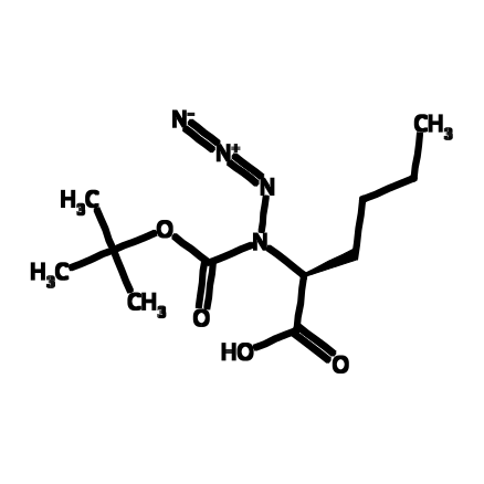 CCCC[C@@H](C(=O)O)N(N=[N+]=[N-])C(=O)OC(C)(C)C